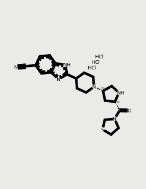 Cl.Cl.Cl.N#Cc1ccc2[nH]c(C3CCN([C@@H]4CN[C@H](C(=O)N5CCSC5)C4)CC3)nc2c1